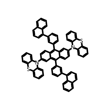 c1cc(-c2cccc3ccccc23)cc(-c2c3ccc(N4c5ccccc5Sc5ccccc54)cc3c(-c3cccc(-c4cccc5ccccc45)c3)c3ccc(N4c5ccccc5Sc5ccccc54)cc23)c1